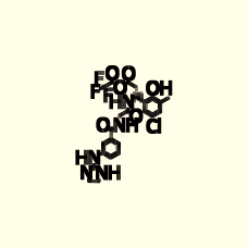 Cc1cc(Cl)cc([C@@H](CC(=O)OC(=O)C(F)(F)F)NC(=O)CNC(=O)c2cccc(NC3=NCCN3)c2)c1O